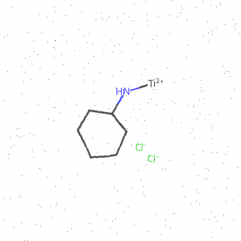 [Cl-].[Cl-].[Ti+2][NH]C1CCCCC1